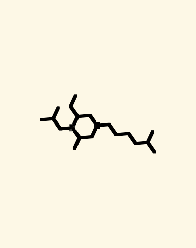 CCC1CN(CCCCC(C)C)CC(C)N1CC(C)C